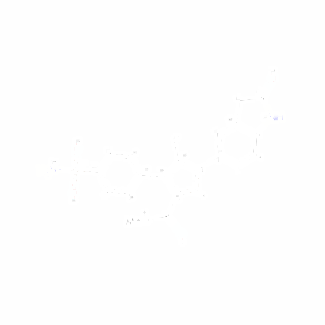 COC(=O)c1sc(-c2ccc3c(c2)CC(=O)N3)c(C)c1-c1ccc(S(N)(=O)=O)cc1